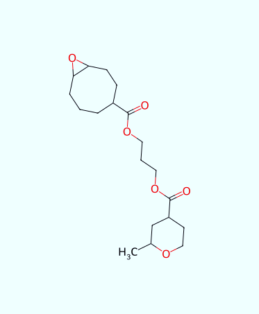 CC1CC(C(=O)OCCCOC(=O)C2CCCC3OC3CC2)CCO1